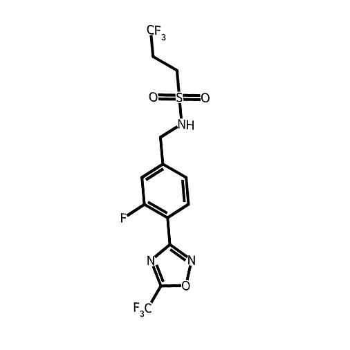 O=S(=O)(CCC(F)(F)F)NCc1ccc(-c2noc(C(F)(F)F)n2)c(F)c1